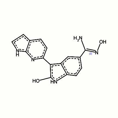 N/C(=N\O)c1ccc2[nH]c(O)c(-c3ccc4cc[nH]c4n3)c2c1